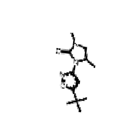 CC1CN(C)C(=O)N1c1cc(C(C)(C)C)on1